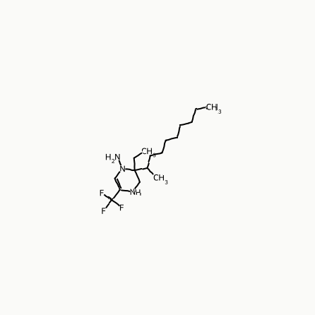 CCCCCCCCC(C)C1(CC)CNC(C(F)(F)F)=CN1N